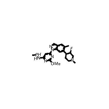 COc1nc(NPC)cc(-n2ncc3cc(C)c(C4CCN(C)CC4F)cc32)n1